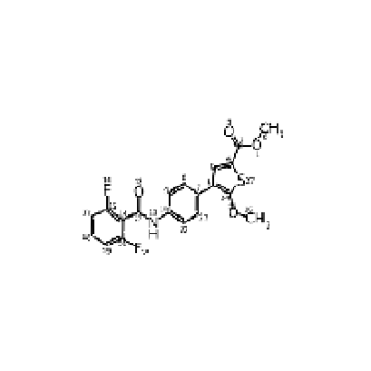 COC(=O)c1cc(-c2ccc(NC(=O)c3c(F)cccc3F)cc2)c(OC)s1